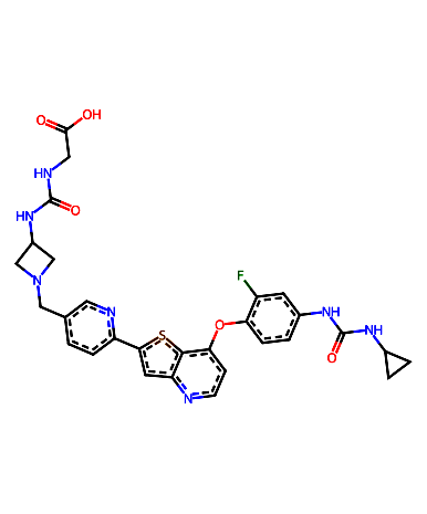 O=C(O)CNC(=O)NC1CN(Cc2ccc(-c3cc4nccc(Oc5ccc(NC(=O)NC6CC6)cc5F)c4s3)nc2)C1